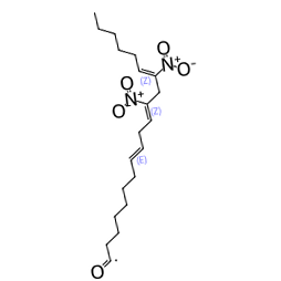 CCCCC/C=C(/C/C(=C/C/C=C/CCCCCC[C]=O)[N+](=O)[O-])[N+](=O)[O-]